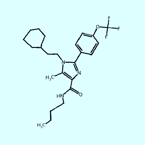 CCCCNC(=O)c1nc(-c2ccc(OC(F)(F)F)cc2)n(CCC2CCCCC2)c1C